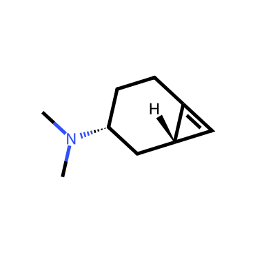 CN(C)[C@@H]1CCC2=C[C@@H]2C1